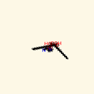 CCCCCCCCCCCCCCCCC(C(=O)O)C(C)CC(C(=O)O)C(CCCCCCCCCCCCCCC)OP(OCCC#N)N(C(C)C)C(C)C